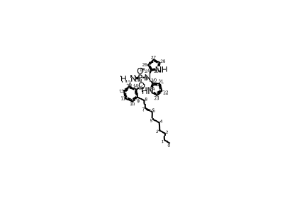 CCCCCCCCCc1ccccc1OP(N)(=O)N(c1ccc[nH]1)c1ccc[nH]1